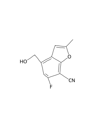 Cc1cc2c(CO)cc(F)c(C#N)c2o1